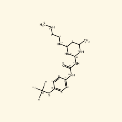 CNCCNC1CC(C)NC(NC(=O)Nc2ccc(OC(F)(F)F)cc2)N1